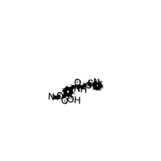 N#CCOC(=O)c1ccc(CNC(=O)CCSSc2ccccn2)cc1O